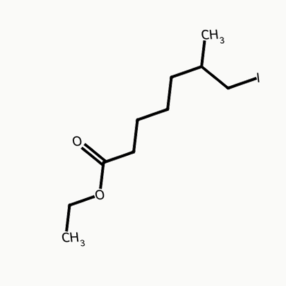 CCOC(=O)CCCCC(C)CI